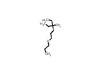 CCCOCCCC(C)(CC)CC